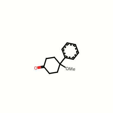 COC1(c2ccccc2)CCC(=O)CC1